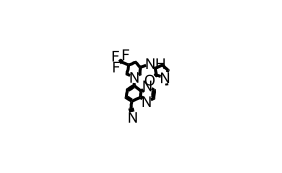 CN1CC[C@@H](NC2CC(C(F)(F)F)CN(c3ccc(C#N)c4nccnc34)C2)C1=O